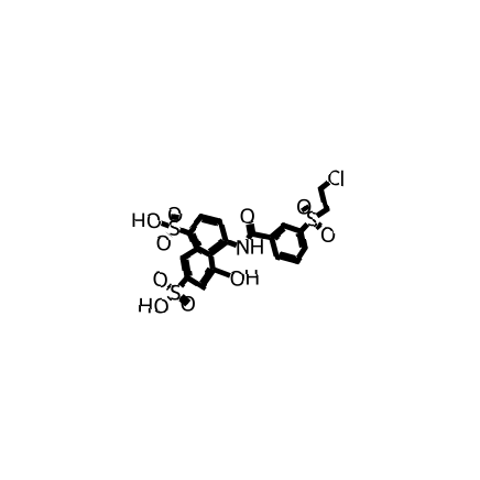 O=C(Nc1ccc(S(=O)(=O)O)c2cc(S(=O)(=O)O)cc(O)c12)c1cccc(S(=O)(=O)CCCl)c1